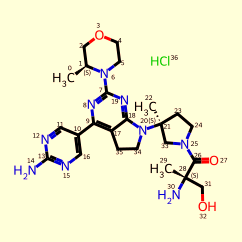 C[C@H]1COCCN1c1nc(-c2cnc(N)nc2)c2c(n1)N([C@@]1(C)CCN(C(=O)[C@@](C)(N)CO)C1)CC2.Cl